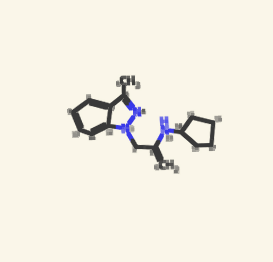 C=C(Cn1nc(C)c2ccccc21)NC1CCCC1